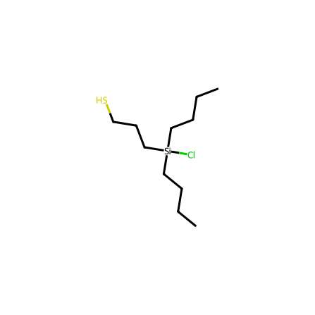 CCCC[Si](Cl)(CCCC)CCCS